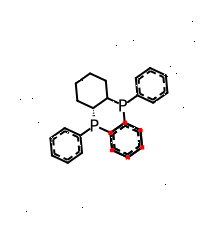 c1ccc(P(c2ccccc2)C2CCCC[C@H]2P(c2ccccc2)c2ccccc2)cc1